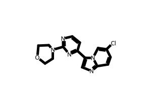 Clc1ccc2ncc(-c3ccnc(N4CCOCC4)n3)n2c1